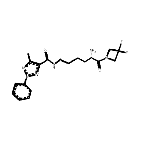 Cc1nn(-c2ccccc2)nc1C(=O)NCCCC[C@H](N)C(=O)N1CC(F)(F)C1